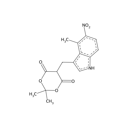 Cc1c([N+](=O)[O-])ccc2[nH]cc(CC3C(=O)OC(C)(C)OC3=O)c12